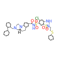 O=C(NS(=O)(=O)c1cc2c(cc1Cl)NCN(CCSc1ccccc1)S2(=O)=O)c1ccc2c(c1)CC[C@H]1CN(Cc3ccccc3-c3ccccc3)CCN21